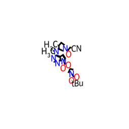 C[C@@H]1CCN(C(=O)CC#N)C[C@@H]1N(C)c1ncnc2c1ccn2C(=O)OC1CN(C(=O)OC(C)(C)C)C1